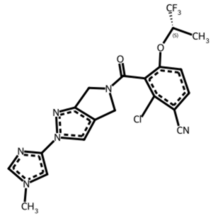 C[C@H](Oc1ccc(C#N)c(Cl)c1C(=O)N1Cc2cn(-c3cn(C)cn3)nc2C1)C(F)(F)F